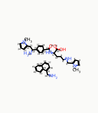 Cn1cccc1CNCCCC(NC(=O)c1ccc(C(N)Cc2cccn2C)cc1)C(=O)O.NCc1cccc2ccccc12